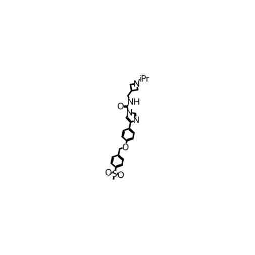 CC(C)N1CC(CNC(=O)n2cnc(-c3ccc(OCc4ccc(S(C)(=O)=O)cc4)cc3)c2)C1